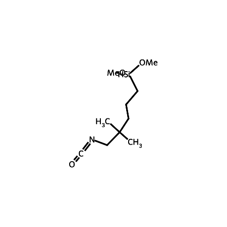 CO[SiH](CCCC(C)(C)CN=C=O)OC